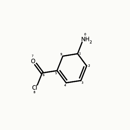 NC1C=CC=C(C(=O)Cl)C1